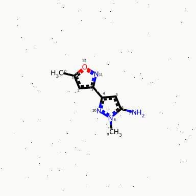 Cc1cc(-c2cc(N)n(C)n2)no1